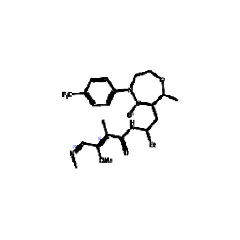 CCC(CC1C(C)OCCN(c2ccc(C(F)(F)F)cc2)[S+]1[O-])NC(=O)/C(C)=C(/C=N\C)OC